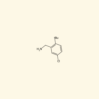 CC(C)(C)c1ccc(Cl)cc1CN